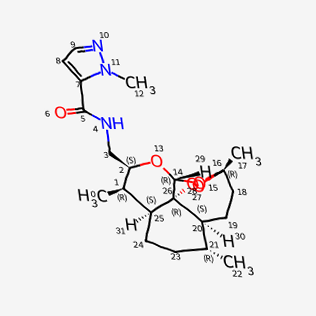 C[C@H]1[C@@H](CNC(=O)c2ccnn2C)O[C@@H]2O[C@@]3(C)CC[C@H]4[C@H](C)CC[C@@H]1[C@@]24OO3